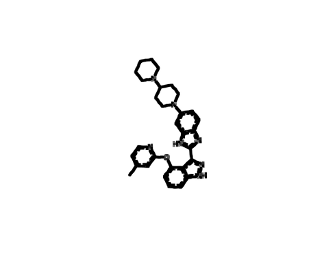 Cc1ccnc(Oc2cccc3[nH]nc(-c4nc5ccc(N6CCC(N7CCCCC7)CC6)cc5[nH]4)c23)c1